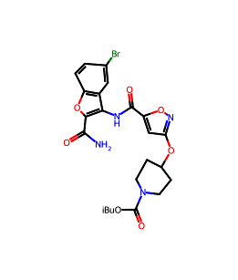 CC(C)COC(=O)N1CCC(Oc2cc(C(=O)Nc3c(C(N)=O)oc4ccc(Br)cc34)on2)CC1